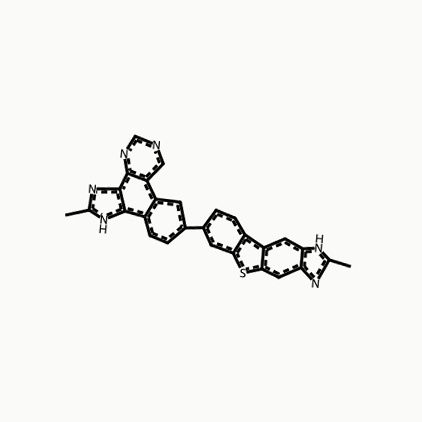 Cc1nc2cc3sc4cc(-c5ccc6c(c5)c5cncnc5c5nc(C)[nH]c65)ccc4c3cc2[nH]1